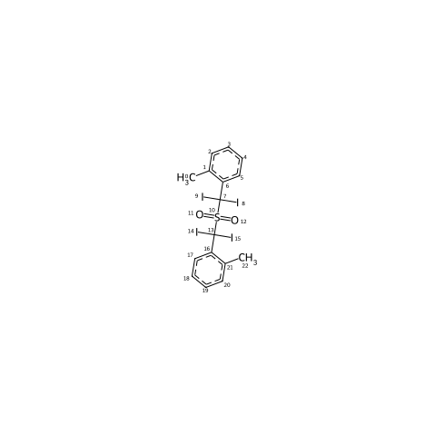 Cc1ccccc1C(I)(I)S(=O)(=O)C(I)(I)c1ccccc1C